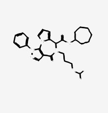 CC(C)OCCCN1C(=O)c2cnn(-c3ccccc3)c2-n2cccc2C1C(=O)NC1CCCCCC1